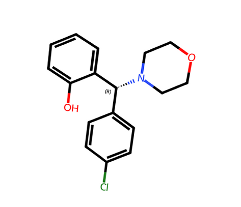 Oc1ccccc1[C@@H](c1ccc(Cl)cc1)N1CCOCC1